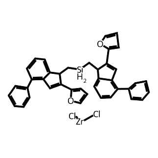 C1=C(c2ccco2)C(C[SiH2]CC2C(c3ccco3)=Cc3c(-c4ccccc4)cccc32)c2cccc(-c3ccccc3)c21.[Cl][Zr][Cl]